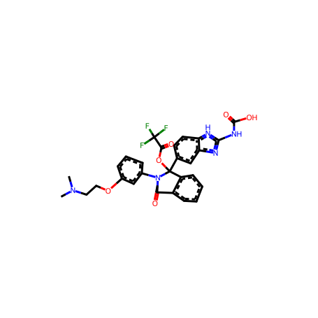 CN(C)CCOc1cccc(N2C(=O)c3ccccc3C2(OC(=O)C(F)(F)F)c2ccc3[nH]c(NC(=O)O)nc3c2)c1